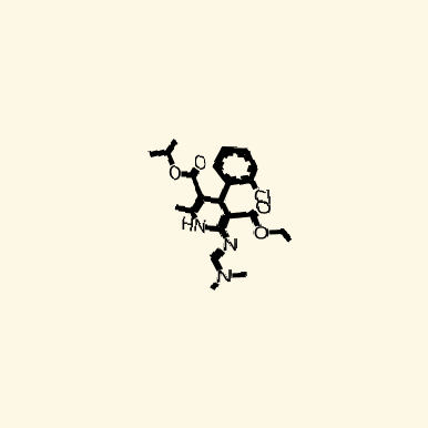 CCOC(=O)C1=C(N=CN(C)C)NC(C)=C(C(=O)OC(C)C)C1c1ccccc1Cl